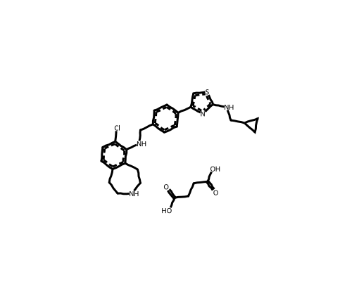 Clc1ccc2c(c1NCc1ccc(-c3csc(NCC4CC4)n3)cc1)CCNCC2.O=C(O)CCC(=O)O